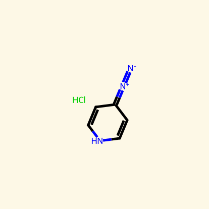 Cl.[N-]=[N+]=c1cc[nH]cc1